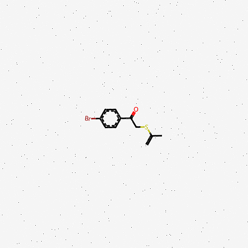 C=C(C)SCC(=O)c1ccc(Br)cc1